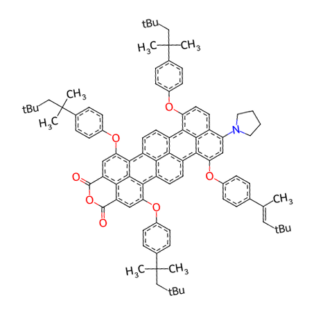 C/C(=C\C(C)(C)C)c1ccc(Oc2cc(N3CCCC3)c3ccc(Oc4ccc(C(C)(C)CC(C)(C)C)cc4)c4c5ccc6c7c(Oc8ccc(C(C)(C)CC(C)(C)C)cc8)cc8c9c(cc(Oc%10ccc(C(C)(C)CC(C)(C)C)cc%10)c(c%10ccc(c2c34)c5c6%10)c97)C(=O)OC8=O)cc1